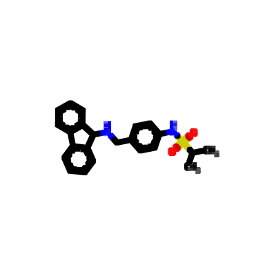 CC(C)S(=O)(=O)Nc1ccc(CNC2c3ccccc3-c3ccccc32)cc1